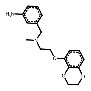 CN(CCOc1cccc2c1OCCO2)Cc1cccc(N)c1